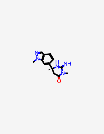 CN1C(=N)N[C@](C)(c2ccc3cnn(C)c3c2)CC1=O